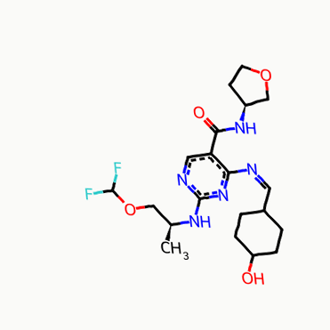 C[C@@H](COC(F)F)Nc1ncc(C(=O)N[C@H]2CCOC2)c(/N=C\C2CCC(O)CC2)n1